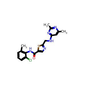 Cc1cc(NCc2ncc(C(=O)Nc3c(C)cccc3Cl)s2)nc(C)n1